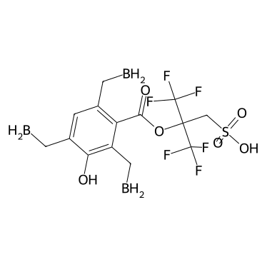 BCc1cc(CB)c(C(=O)OC(CS(=O)(=O)O)(C(F)(F)F)C(F)(F)F)c(CB)c1O